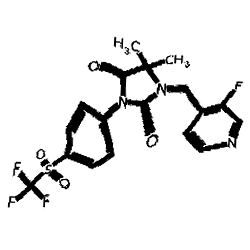 CC1(C)C(=O)N(c2ccc(S(=O)(=O)C(F)(F)F)cc2)C(=O)N1Cc1ccncc1F